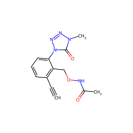 C#Cc1cccc(-n2nnn(C)c2=O)c1CONC(C)=O